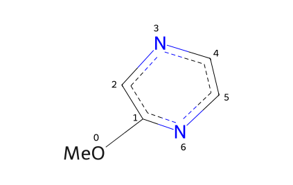 [CH2]Oc1cnccn1